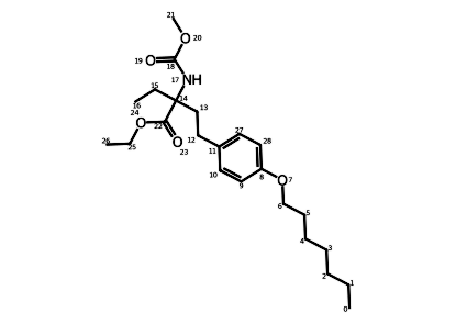 CCCCCCCOc1ccc(CCC(CC)(NC(=O)OC)C(=O)OCC)cc1